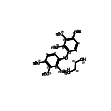 CCCCc1ccc(Oc2ccc(CCCC)c(CCCC)c2CCCC)c(CCCC)c1CCCC.OCCO